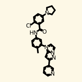 Cc1ccc(NC(=O)c2cc(N3CCCC3)ccc2Cl)cc1-n1ccn2nc(-c3cccnc3)cc12